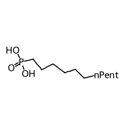 C[CH]CCCCCCCCCP(=O)(O)O